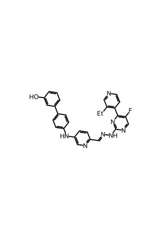 CCc1cnccc1-c1nc(N/N=C/c2ccc(Nc3ccc(-c4cccc(O)c4)cc3)cn2)ncc1F